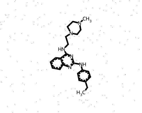 CCc1ccc(Nc2nc(NCCN3CCN(C)CC3)c3ccccc3n2)cc1